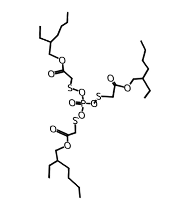 CCCCC(CC)COC(=O)CSOP(=O)(OSCC(=O)OCC(CC)CCCC)OSCC(=O)OCC(CC)CCCC